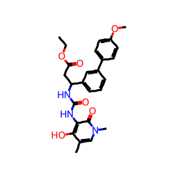 CCOC(=O)CC(NC(=O)Nc1c(O)c(C)cn(C)c1=O)c1cccc(-c2ccc(OC)cc2)c1